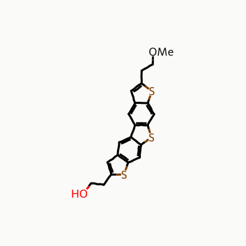 COCCc1cc2cc3c(cc2s1)sc1cc2sc(CCO)cc2cc13